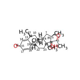 CC(=O)[C@@]1(O)[C@H](C)C[C@H]2[C@@H]3C[C@H](C)C4=CC(=O)C=C[C@]4(C)[C@H]3CC[C@@]21C